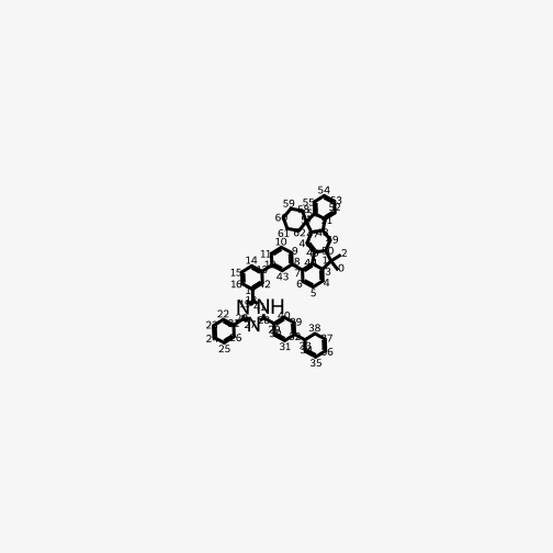 CC1(C)c2cccc(-c3cccc(-c4cccc(C5=NC(c6ccccc6)=NC(c6ccc(C7C=CC=CC7)cc6)N5)c4)c3)c2C2=CC3C(CC21)c1ccccc1C31CCCCC1